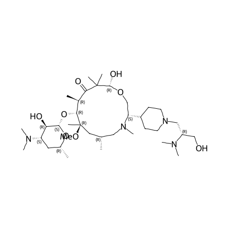 CO[C@]1(C)C[C@@H](C)CN(C)[C@@H](C2CCN(C[C@H](CO)N(C)C)CC2)CO[C@@H](O)C(C)(C)C(=O)[C@H](C)[C@H]1O[C@@H]1O[C@H](C)C[C@H](N(C)C)[C@H]1O